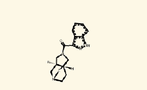 O=C(c1n[nH]c2ccccc12)N1C[C@@H]2C[N@]3CC[C@H]2C1C3